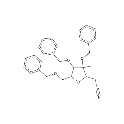 CC1(OCc2ccccc2)C(CC#N)OC(COCc2ccccc2)C1OCc1ccccc1